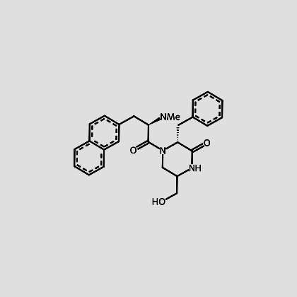 CN[C@H](Cc1ccc2ccccc2c1)C(=O)N1CC(CO)NC(=O)[C@H]1Cc1ccccc1